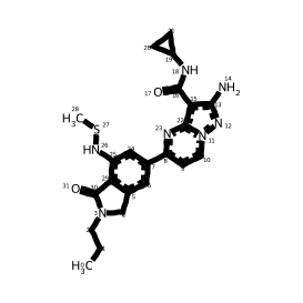 CCCN1Cc2cc(-c3ccn4nc(N)c(C(=O)NC5CC5)c4n3)cc(NSC)c2C1=O